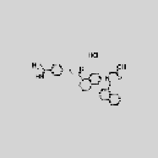 Cl.N=C(N)c1ccc(CCC(=O)N2CCCc3cc(N(CC(=O)O)Cc4cccc5ccccc45)ccc32)cc1